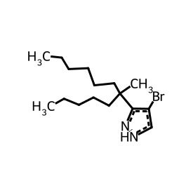 CCCCCCC(C)(CCCCC)c1n[nH]cc1Br